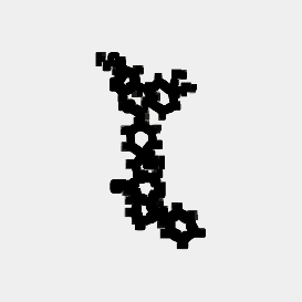 O=C([C@H]1CCC(F)(F)C[C@@H]1c1csc(C(F)(F)F)c1)N1CCC(O)(Cn2cnc3c(-c4ccccc4)scc3c2=O)CC1